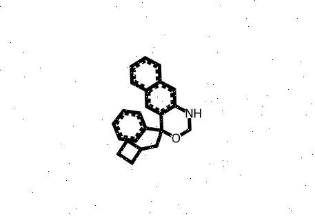 c1ccc(C2(CC3CCC3)OCNc3cc4ccccc4cc32)cc1